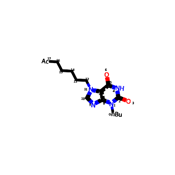 CCCCn1c(=O)[nH]c(=O)c2c1ncn2CCCCCC(C)=O